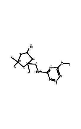 COc1cncc(NCC2(C)CC(O)CC(C)(C)C2)n1